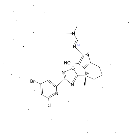 CN(C)/C=N/c1sc2c(c1C#N)[C@@](C)(c1nc(-c3cc(Br)cc(Cl)n3)no1)CCC2